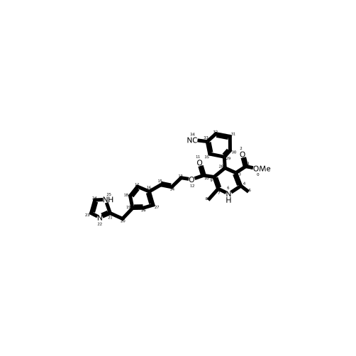 COC(=O)C1=C(C)NC(C)=C(C(=O)OCC=Cc2ccc(Cc3ncc[nH]3)cc2)C1c1cccc(C#N)c1